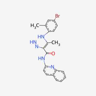 C/C(Nc1ccc(Br)cc1C)=C(/N=N)C(=O)Nc1ccc2ccccc2n1